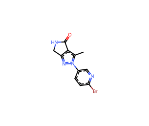 Cc1c2c(nn1-c1ccc(Br)nc1)CNC2=O